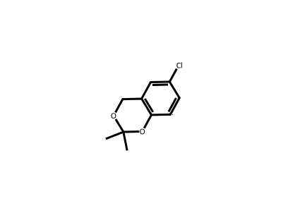 CC1(C)OCc2cc(Cl)c[c]c2O1